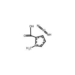 Cn1cccc1C(=O)O.[N-]=[N+]=N